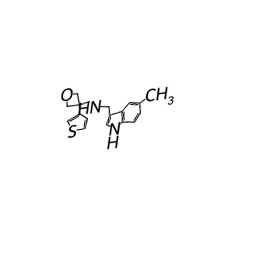 Cc1ccc2[nH]cc(CNCC3(c4ccsc4)COC3)c2c1